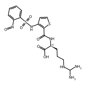 NC(N)NCCC[C@H](NC(=O)c1sccc1NS(=O)(=O)c1ccccc1N=O)C(=O)O